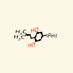 CCCCCc1cc(O)c(CC=C(C)C)c(O)c1